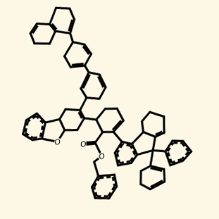 O=C(OCc1ccccc1)C1C(c2cccc3c2C2CCCC=C2C3(C2=CC=CCC2)c2ccccc2)=CCCC1C1=C(C2C=C(C3=CCC(C4=CCCC5=C4CCC=C5)C=C3)C=CC2)CC2c3ccccc3OC2C1